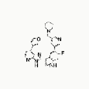 Fc1cc2[nH]nc(-c3nc4c(-c5ccoc5)ccnc4[nH]3)c2cc1-c1cncc(CN2CCCCC2)c1